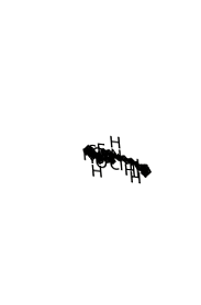 O=S(=O)(Nc1nccs1)c1cc(Cl)c(NCCCCNC[C@@H]2CCCN2)cc1F